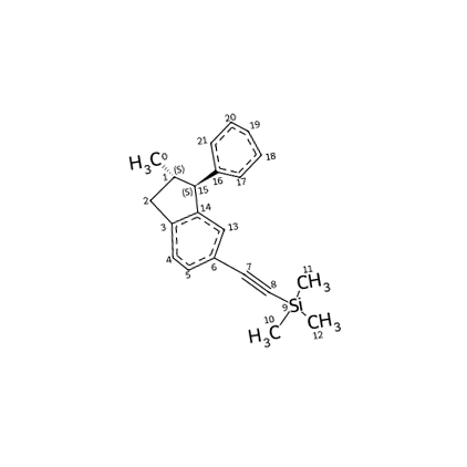 C[C@H]1Cc2ccc(C#C[Si](C)(C)C)cc2[C@@H]1c1ccccc1